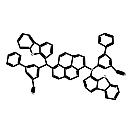 N#Cc1cc(-c2ccccc2)cc(C(c2ccc3ccc4c(N(c5cc(C#N)cc(-c6ccccc6)c5)c5cccc6c5oc5ccccc56)ccc5ccc2c3c54)c2cccc3c2oc2ccccc23)c1